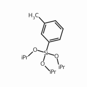 Cc1cccc([Si](OC(C)C)(OC(C)C)OC(C)C)c1